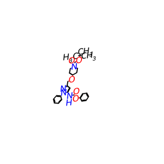 CC(C)(C)OC(=O)N1CCC(OCc2cc(NC(=O)Oc3ccccc3)n(-c3ccccc3)n2)CC1